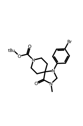 CN1CN(c2ccc(Br)cc2)C2(CCN(C(=O)OC(C)(C)C)CC2)C1=O